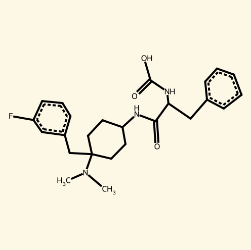 CN(C)C1(Cc2cccc(F)c2)CCC(NC(=O)C(Cc2ccccc2)NC(=O)O)CC1